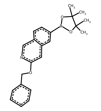 CC1(C)OB(c2ccc3cnc(OCc4ccccc4)cc3c2)OC1(C)C